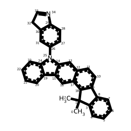 CC1(C)c2ccccc2-c2ccc3cc4c(cc3c21)c1ccccc1n4-c1ccc2c(c1)CC=N2